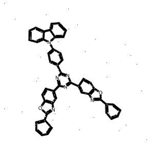 c1ccc(-c2nc3cc(-c4nc(-c5ccc(-n6c7ccccc7c7ccccc76)cc5)nc(-c5ccc6oc(-c7ccccc7)nc6c5)n4)ccc3o2)cc1